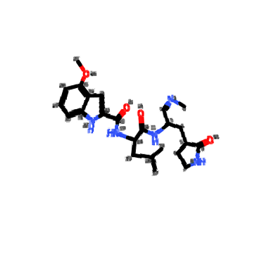 C/N=C\C(CC1CCNC1=O)NC(=O)C(CC(C)C)NC(=O)c1cc2c(OC)cccc2[nH]1